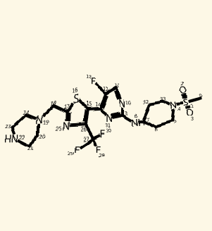 CS(=O)(=O)N1CCC(Nc2ncc(F)c(-c3sc(CN4CCNCC4)nc3C(F)(F)F)n2)CC1